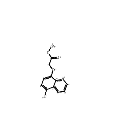 CCCOC(=S)COc1ccc(Cl)c2cccnc12